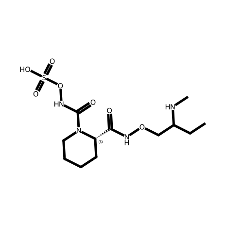 CCC(CONC(=O)[C@@H]1CCCCN1C(=O)NOS(=O)(=O)O)NC